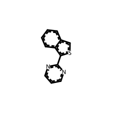 c1cnc(-c2scc3ccccc23)nc1